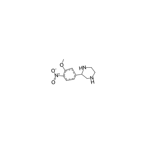 COc1cc(C2CNCCN2)ccc1[N+](=O)[O-]